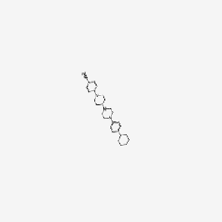 N#Cc1ccc(N2CCC(N3CCN(c4ccc(C5CCCCC5)cc4)CC3)CC2)cc1